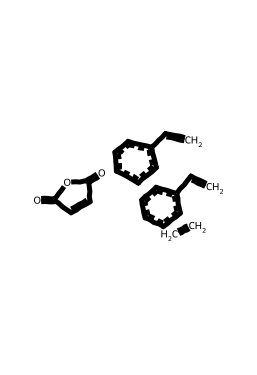 C=C.C=Cc1ccccc1.C=Cc1ccccc1.O=C1C=CC(=O)O1